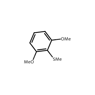 [CH2]Sc1c(OC)cccc1OC